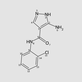 Nc1[nH]ncc1C(=O)Nc1ccccc1Cl